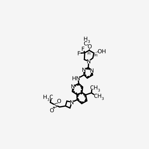 CCS(=O)(=O)CC1CN(c2ccc(C(C)C)c3cc(Nc4ccnc(N5C[C@@H](O)[C@@H](OC)C(F)(F)C5)n4)ncc23)C1